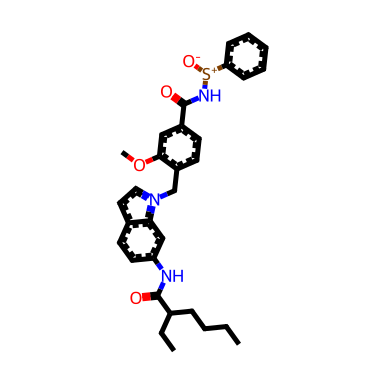 CCCCC(CC)C(=O)Nc1ccc2ccn(Cc3ccc(C(=O)N[S+]([O-])c4ccccc4)cc3OC)c2c1